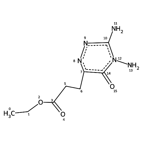 CCOC(=O)CCc1nnc(N)n(N)c1=O